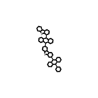 c1ccc(-c2c3ccccc3c(-c3ccc4c(c3)sc3ccc(-c5c6ccccc6c(-c6cccc7c6sc6ccccc67)c6ccccc56)cc34)c3ccccc23)cc1